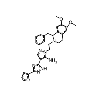 COc1cc2c(cc1OC)C(Cc1ccccc1)N(CCn1ncc(-c3nc(-c4ccco4)n[nH]3)c1N)CC2